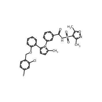 Cc1noc(C)c1S(=O)(=O)NC(=O)c1cccc(-n2c(C)ccc2-c2ccccc2OCc2ccc(F)cc2Cl)c1